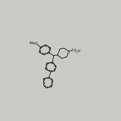 COc1ccc(C(c2ccc(-c3ccccc3)cc2)C2CCN(C(=O)O)CC2)cc1